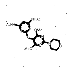 COc1nc(N2CCOCC2)nc(OC)c1Sc1nc(NC(C)=O)cc(NC(C)=O)n1